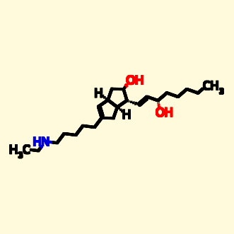 CCCCC[C@H](O)/C=C/[C@@H]1[C@H]2CC(CCCCCNCC)=C[C@H]2C[C@H]1O